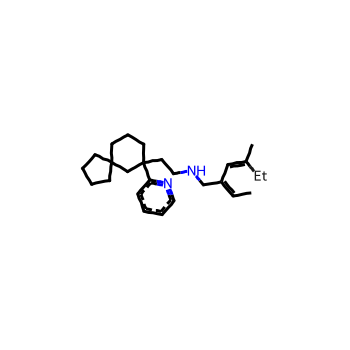 C/C=C(\C=C(\C)CC)CNCCC1(c2ccccn2)CCCC2(CCCC2)C1